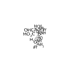 CC(C)C[C@H](N)C(=O)N[C@@H](C)C(=O)N1CCC[C@H]1C(=O)N[C@H](C(=O)N[C@@H](C)C(=O)N[C@H](C=O)CC(=O)O)C(C)C